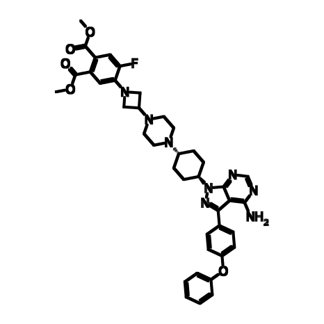 COC(=O)c1cc(F)c(N2CC(N3CCN([C@H]4CC[C@H](n5nc(-c6ccc(Oc7ccccc7)cc6)c6c(N)ncnc65)CC4)CC3)C2)cc1C(=O)OC